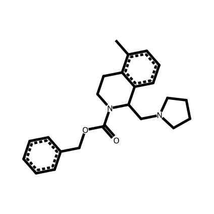 Cc1cccc2c1CCN(C(=O)OCc1ccccc1)C2CN1CCCC1